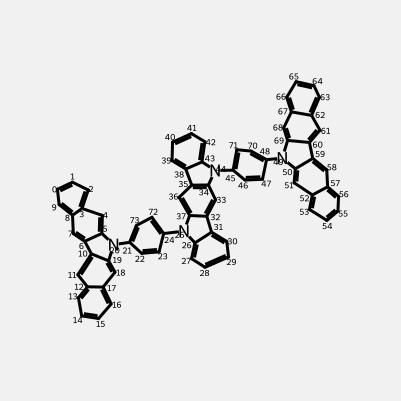 c1ccc2cc3c(cc2c1)c1cc2ccccc2cc1n3-c1ccc(-n2c3ccccc3c3cc4c(cc32)c2ccccc2n4-c2ccc(-n3c4cc5ccccc5cc4c4cc5ccccc5cc43)cc2)cc1